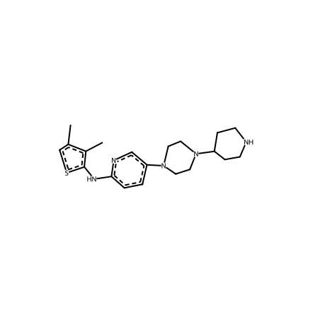 Cc1csc(Nc2ccc(N3CCN(C4CCNCC4)CC3)cn2)c1C